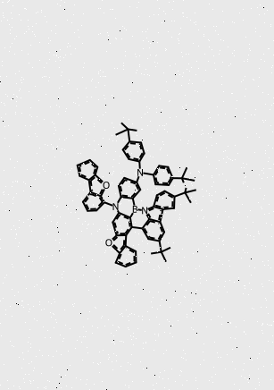 CC(C)(C)c1ccc(N(c2ccc(C(C)(C)C)cc2)c2ccc3c(c2)B2c4c(cc5oc6ccccc6c5c4-c4cc(C(C)(C)C)cc5c6cc(C(C)(C)C)ccc6n2c45)N3c2cccc3c2oc2ccccc23)cc1